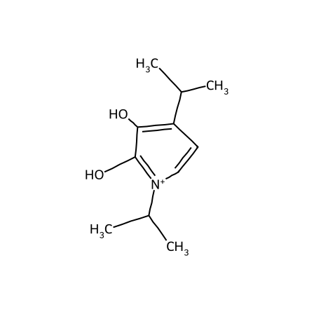 CC(C)c1cc[n+](C(C)C)c(O)c1O